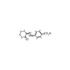 O=C1CCCC/C1=N/Nc1ccc(C(=O)O)cc1